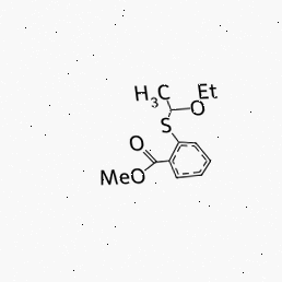 CCOC(C)Sc1ccccc1C(=O)OC